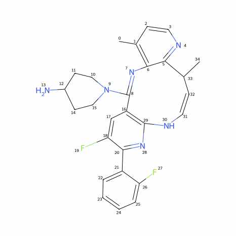 Cc1ccnc2c1/N=C(/N1CCC(N)CC1)c1cc(F)c(-c3ccccc3F)nc1N/C=C\C2C